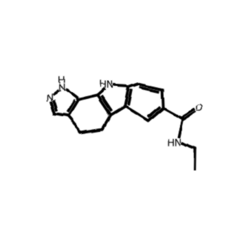 CCNC(=O)c1ccc2[nH]c3c(c2c1)CCc1cn[nH]c1-3